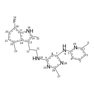 Cc1cccc(Nc2cc(NCCc3c(C)[nH]c4c(F)ccc(C)c34)nc(C)n2)n1